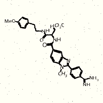 COc1ccc(CCNC(=O)C(CC(=O)O)NC(=O)c2ccc3c(c2)nc(-c2ccc(C(=N)N)cc2)n3C)cc1